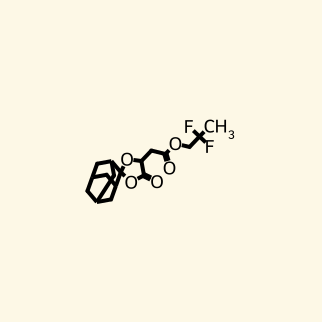 CC(F)(F)COC(=O)CC1OC2(OC1=O)C1CC3CC(C1)CC2C3